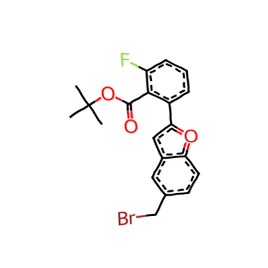 CC(C)(C)OC(=O)c1c(F)cccc1-c1cc2cc(CBr)ccc2o1